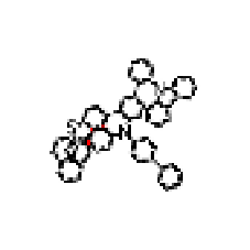 c1ccc(-c2ccc(N(c3ccc(-c4cccc5ccccc45)cc3)c3ccc(-c4ccccc4-n4c5ccccc5c5ccccc54)cc3-c3ccc4sc5ccccc5c4c3)cc2)cc1